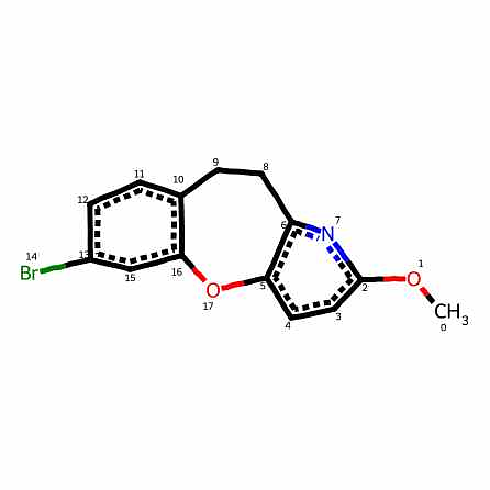 COc1ccc2c(n1)CCc1ccc(Br)cc1O2